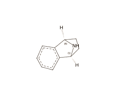 c1ccc2c(c1)[C@@H]1CC[C@H]2N1